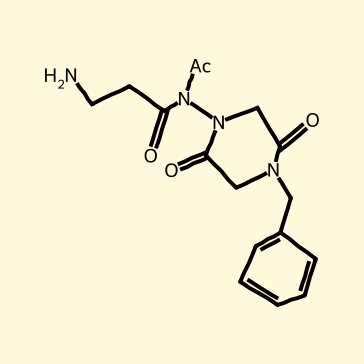 CC(=O)N(C(=O)CCN)N1CC(=O)N(Cc2ccccc2)CC1=O